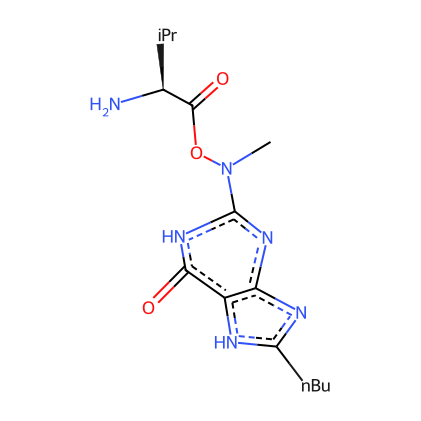 CCCCc1nc2nc(N(C)OC(=O)[C@@H](N)C(C)C)[nH]c(=O)c2[nH]1